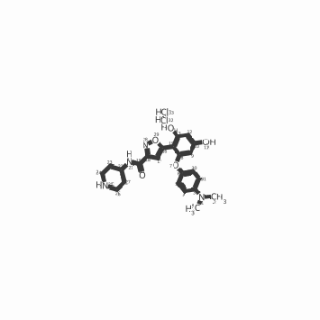 CN(C)c1ccc(Oc2cc(O)cc(O)c2-c2cc(C(=O)NC3CCNCC3)no2)cc1.Cl.Cl